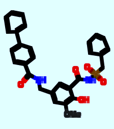 COc1cc(CNC(=O)c2ccc(-c3ccccc3)cc2)cc(C(=O)NS(=O)(=O)Cc2ccccc2)c1O